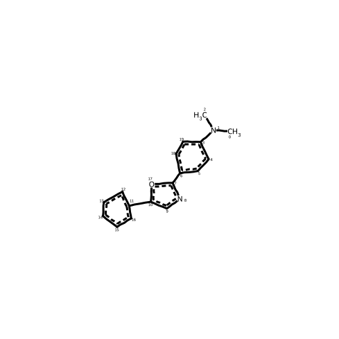 CN(C)c1ccc(-c2ncc(-c3ccccc3)o2)cc1